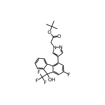 CC(C)(C)OC(=O)Cn1cc(-c2cc(F)cc3c2-c2ccccc2C3(O)C(F)(F)F)cn1